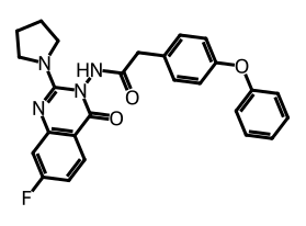 O=C(Cc1ccc(Oc2ccccc2)cc1)Nn1c(N2CCCC2)nc2cc(F)ccc2c1=O